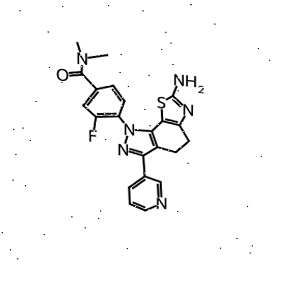 CN(C)C(=O)c1ccc(-n2nc(-c3cccnc3)c3c2-c2sc(N)nc2CC3)c(F)c1